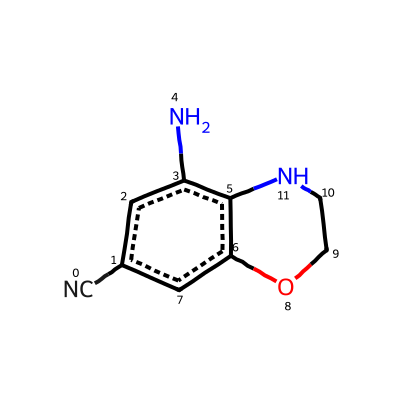 N#Cc1cc(N)c2c(c1)OCCN2